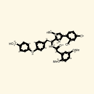 CCCCn1cc(-c2ccc(Cl)cc2Cl)nc1[C@H](Cc1ccc(Oc2ccc(C(=O)O)cc2)cc1)NC(=O)Cc1cc(OC)ccc1OC